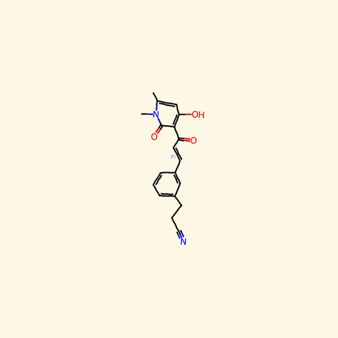 Cc1cc(O)c(C(=O)/C=C/c2cccc(CCC#N)c2)c(=O)n1C